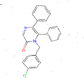 O=c1cnc(-c2ccccc2)c(-c2ccccc2)n1Cc1ccc(Cl)cc1